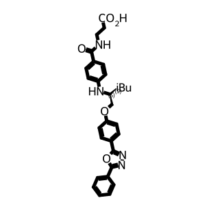 CC[C@H](C)[C@@H](COc1ccc(-c2nnc(-c3ccccc3)o2)cc1)Nc1ccc(C(=O)NCCC(=O)O)cc1